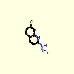 NNc1ccc2ccc(Cl)cc2n1